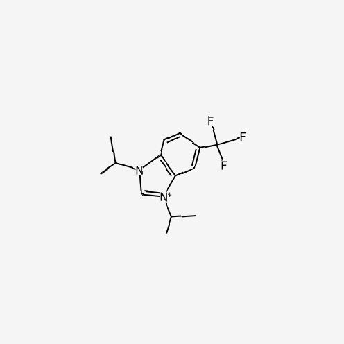 CC(C)n1c[n+](C(C)C)c2cc(C(F)(F)F)ccc21